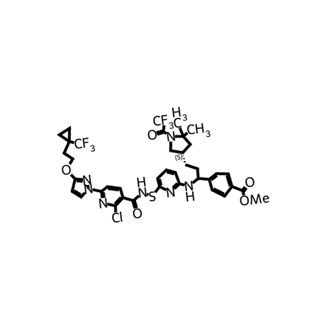 COC(=O)c1ccc(C(CC[C@@H]2CN(C(=O)C(F)(F)F)C(C)(C)C2)Nc2cccc(SNC(=O)c3ccc(-n4ccc(OCCC5(C(F)(F)F)CC5)n4)nc3Cl)n2)cc1